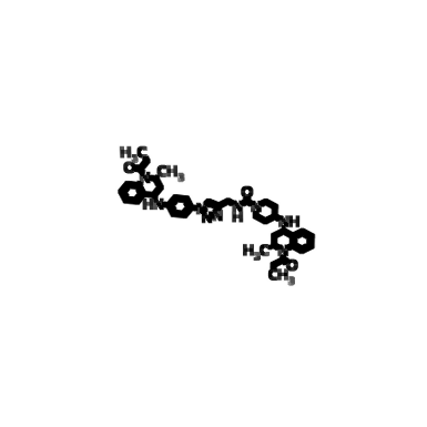 CCC(=O)N1c2ccccc2[C@H](Nc2ccc(-n3cc(CNC(=O)N4CCC(N[C@@H]5C[C@H](C)N(C(=O)CC)c6ccccc65)CC4)nn3)cc2)C[C@@H]1C